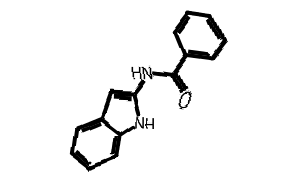 O=C(Nc1cc2ccccc2[nH]1)c1ccccc1